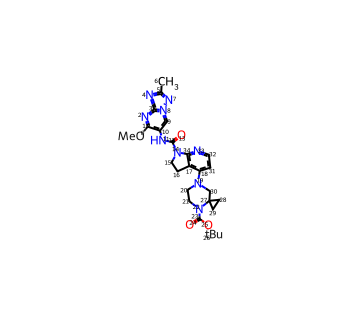 COc1nc2nc(C)nn2cc1NC(=O)N1CCc2c(N3CCN(C(=O)OC(C)(C)C)C4(CC4)C3)ccnc21